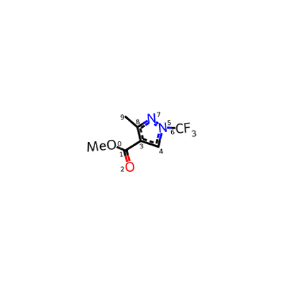 COC(=O)c1cn(C(F)(F)F)nc1C